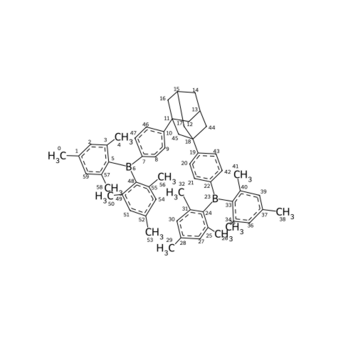 Cc1cc(C)c(B(c2ccc(C34CC5CC(C3)CC(c3ccc(B(c6c(C)cc(C)cc6C)c6c(C)cc(C)cc6C)cc3)(C5)C4)cc2)c2c(C)cc(C)cc2C)c(C)c1